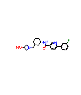 O=C(N[C@@H]1CCC[C@H](CN2CC(O)C2)C1)c1ccc(-c2cccc(F)c2)nc1